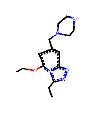 CCOc1cc(CN2CCNCC2)cc2nnc(CC)n12